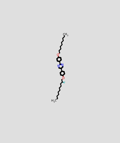 CCCCCCCCCCOc1ccc(-c2ncc(-c3ccc(OCC(F)CCCCCCCCC)cc3)cn2)cc1